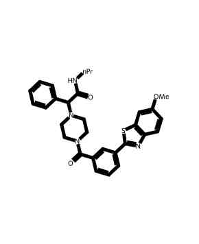 CCCNC(=O)C(c1ccccc1)N1CCN(C(=O)c2cccc(-c3nc4ccc(OC)cc4s3)c2)CC1